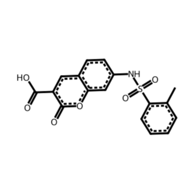 Cc1ccccc1S(=O)(=O)Nc1ccc2cc(C(=O)O)c(=O)oc2c1